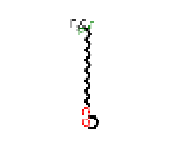 FC(F)(F)C(F)(F)CCCCCCCCCCCCCCCOC1CCCCO1